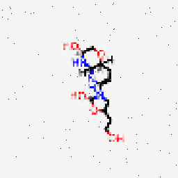 OCCC1CN(C2=CC[C@H]3OC[C@@H](O)N[C@H]3N2)[C@@H](O)O1